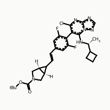 C[C@@H](Nc1c(-c2c(F)cc(/C=C/C3[C@H]4CN(C(=O)OC(C)(C)C)C[C@@H]34)cc2F)c(Cl)nc2ncnn12)C1CCC1